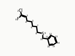 F/C(Cl)=C\CCCCCSCc1ccccc1